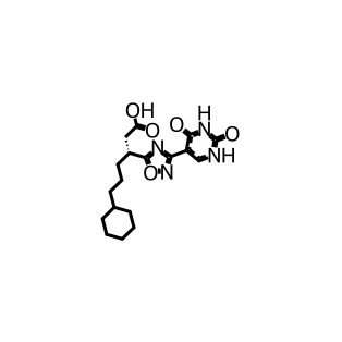 O=C(O)C[C@@H](CCCC1CCCCC1)c1nc(-c2c[nH]c(=O)[nH]c2=O)no1